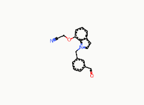 N#CCOc1cccc2ccn(Cc3cccc(C=O)c3)c12